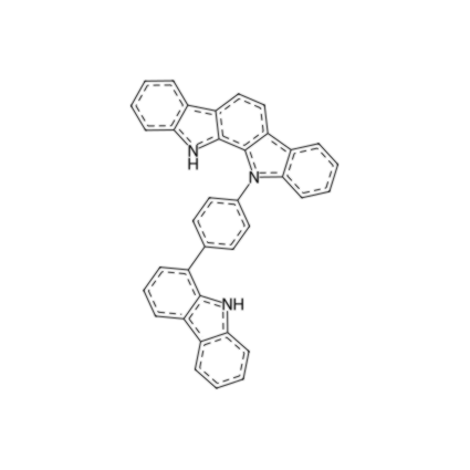 c1ccc2c(c1)[nH]c1c(-c3ccc(-n4c5ccccc5c5ccc6c7ccccc7[nH]c6c54)cc3)cccc12